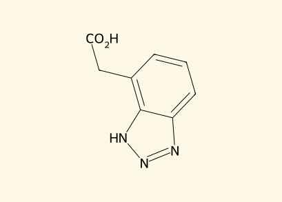 O=C(O)Cc1cccc2nn[nH]c12